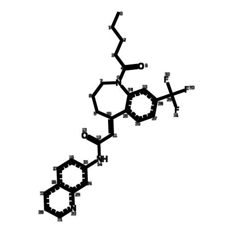 CCCCC(=O)N1CCC/C(=C\C(=O)Nc2ccc3cccnc3c2)c2ccc(C(F)(F)F)cc21